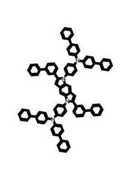 c1ccc(-c2ccc(N(c3ccc(-c4ccccc4)cc3)c3ccc(-n4c(-c5cccc(-c6ccccc6)c5)cc5cc6c(cc(-c7cccc(-c8ccccc8)c7)n6-c6ccc(N(c7ccc(-c8ccccc8)cc7)c7ccc(-c8ccccc8)cc7)cc6)cc54)cc3)cc2)cc1